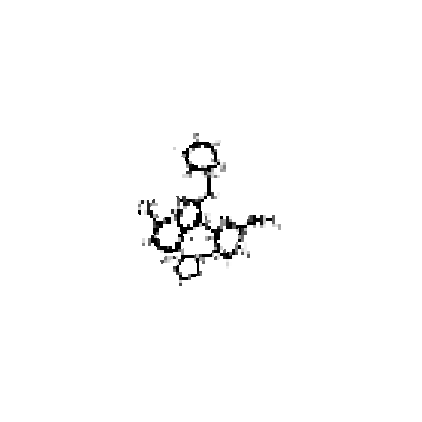 Nc1ncc(C2CCCC2)c(-c2c(Cc3ccccc3)nn3c(Cl)cccc23)n1